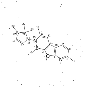 CB1c2oc3nc(C)ccc3c2C=C(C)N1N1C=CN(C)C1(C)C